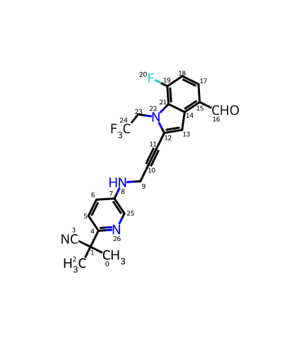 CC(C)(C#N)c1ccc(NCC#Cc2cc3c(C=O)ccc(F)c3n2CC(F)(F)F)cn1